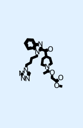 COC(=O)COC(C)N1CCC(C(=O)c2nc3ccccc3n2CCCCn2cnnn2)CC1